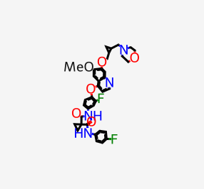 COc1cc2c(Oc3ccc(NC(=O)C4(C(=O)Nc5ccc(F)cc5)CC4)cc3F)ccnc2cc1OCC1CC1CN1CCOCC1